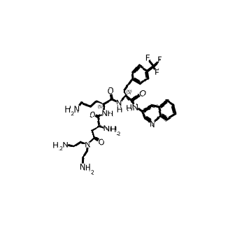 NCCC[C@H](NC(=O)C(N)CC(=O)N(CCN)CCN)C(=O)N[C@@H](Cc1ccc(C(F)(F)F)cc1)C(=O)Nc1cnc2ccccc2c1